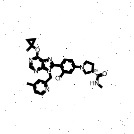 CNC(=O)[C@H]1CCN(c2ccc(-c3nc4c(OC5(C)CC5)ncnc4n3Cc3cc(C)ccn3)c(Cl)c2)C1